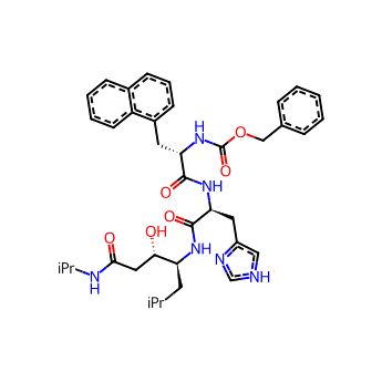 CC(C)C[C@H](NC(=O)[C@H](Cc1c[nH]cn1)NC(=O)[C@H](Cc1cccc2ccccc12)NC(=O)OCc1ccccc1)[C@@H](O)CC(=O)NC(C)C